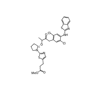 COC(=O)CCc1cnc(N2CCC[C@@H]2OC(C)C(=O)Cc2cc(Cl)c(Nc3nc4ccccc4s3)cc2Cl)s1